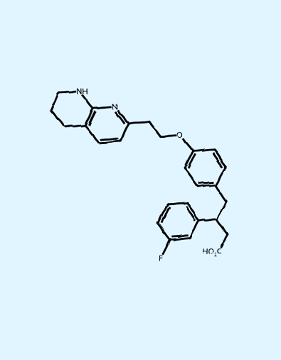 O=C(O)CC(Cc1ccc(OCCc2ccc3c(n2)NCCC3)cc1)c1cccc(F)c1